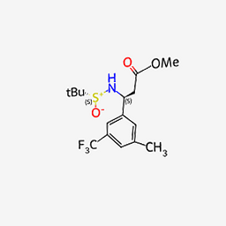 COC(=O)C[C@H](N[S@+]([O-])C(C)(C)C)c1cc(C)cc(C(F)(F)F)c1